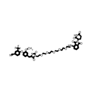 COc1cc(C=C2SC(=O)N(CCOCCOCCOCCOCCOCCNc3cccc4c3C(=O)N(C3CCC(=O)NC3=O)C4=O)C2=O)ccc1Oc1ccc(C#N)cc1C(F)(F)F